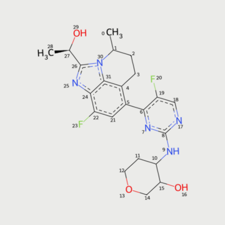 CC1CCc2c(-c3nc(NC4CCOCC4O)ncc3F)cc(F)c3nc([C@@H](C)O)n1c23